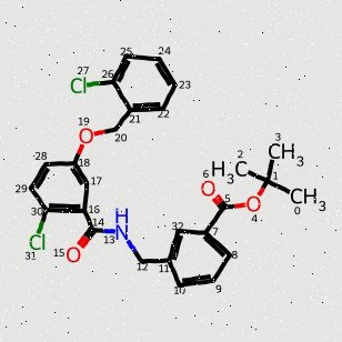 CC(C)(C)OC(=O)c1cccc(CNC(=O)c2cc(OCc3ccccc3Cl)ccc2Cl)c1